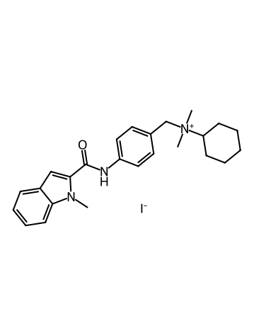 Cn1c(C(=O)Nc2ccc(C[N+](C)(C)C3CCCCC3)cc2)cc2ccccc21.[I-]